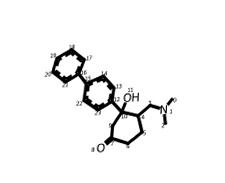 CN(C)CC1CCC(=O)CC1(O)c1ccc(-c2ccccc2)cc1